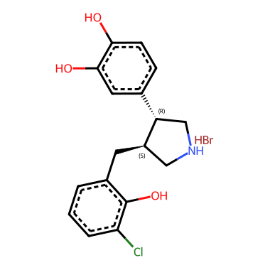 Br.Oc1ccc([C@@H]2CNC[C@H]2Cc2cccc(Cl)c2O)cc1O